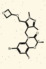 Cc1nn(C)c(COC2COC2)c1CN1C(=O)[C@@H](C)Oc2c(F)cc(Br)cc21